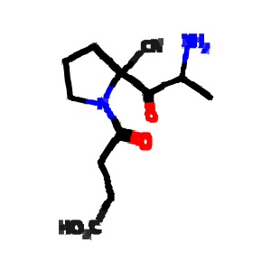 CC(N)C(=O)C1(C#N)CCCN1C(=O)CCC(=O)O